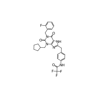 O=C(Nc1ccc(Cc2nc3c([nH]2)c(=O)n(Cc2ccccc2F)c(=O)n3CC2CCCC2)cc1)C(F)(F)F